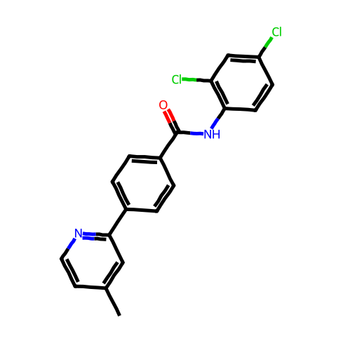 Cc1ccnc(-c2ccc(C(=O)Nc3ccc(Cl)cc3Cl)cc2)c1